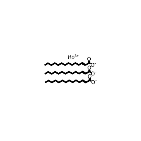 CCCCCCCCCCCC=CC(=O)[O-].CCCCCCCCCCCC=CC(=O)[O-].CCCCCCCCCCCC=CC(=O)[O-].[Ho+3]